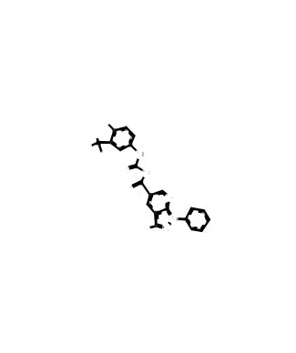 Cc1nn(-c2ccccc2)c2ncc(C(=O)NC(=O)Nc3ccc(F)c(C(F)(F)F)c3)cc12